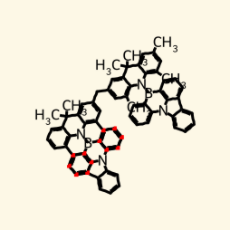 Cc1cc(C)c2c(c1)C(C)(C)c1cc(Cc3cc(-c4ccccc4)c4c(c3)C(C)(C)c3cccc(-c5ccccc5)c3N4B3c4ccccc4-n4c5ccccc5c5cccc3c54)cc(C)c1N2B1c2ccccc2-n2c3ccccc3c3cccc1c32